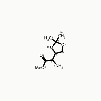 COC(=O)C(N)C1COC(C)(C)O1